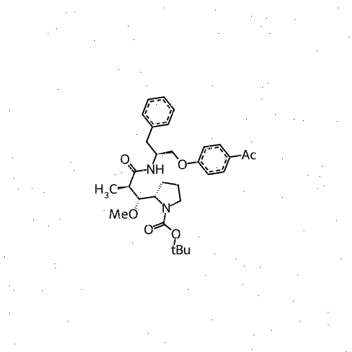 CO[C@H]([C@@H](C)C(=O)N[C@H](COc1ccc(C(C)=O)cc1)Cc1ccccc1)[C@@H]1CCCN1C(=O)OC(C)(C)C